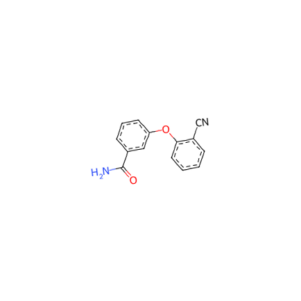 N#Cc1ccccc1Oc1cccc(C(N)=O)c1